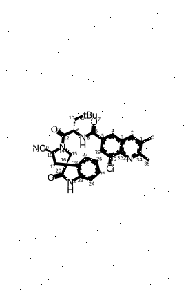 Cc1cc2cc(C(=O)N[C@@H](CC(C)(C)C)C(=O)N3C[C@]4(C[C@H]3C#N)C(=O)Nc3ccccc34)cc(Cl)c2nc1C